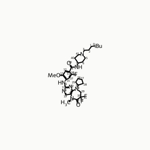 CCC(C)CCCN1CCC(NC(=O)c2cc(OC)c(Nc3ncc4c(n3)N(C3CCCC3)CC(F)(F)C(=O)N4C)cc2F)CC1